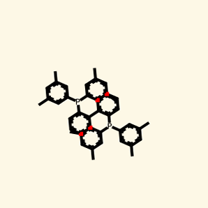 Cc1cc(C)cc(P(c2cc(C)cc(C)c2)c2ccc[c]c2-c2[c]cccc2P(c2cc(C)cc(C)c2)c2cc(C)cc(C)c2)c1